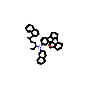 CCC(CCC(C)c1cccc2ccccc12)N(c1c#cc2c(c1)C13c4ccccc4-c4cccc(c41)-c1cccc-2c13)c1ccc2ccccc2c1